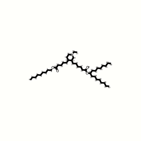 CCCCCCCCCOC(=O)CCCCC1CCN(CC)CC1CCCCCC(=O)OC(CCCCCCCC)CCCCCCCC